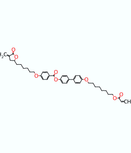 C=CC(=O)OCCCCCCCCOc1ccc(-c2ccc(OC(=O)c3ccc(OCCCCCCC4CC(=C)C(=O)O4)cc3)cc2)cc1